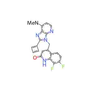 CNc1ccnc2c1nc(C1=CC=C1)n2Cc1cc(=O)[nH]c2c(F)c(F)ccc12